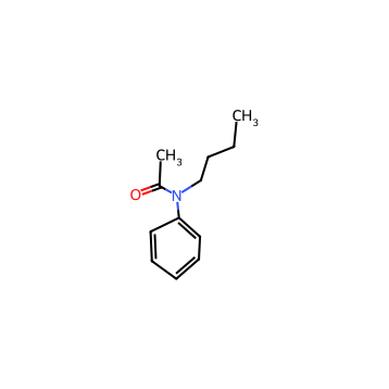 CCCCN(C(C)=O)c1ccccc1